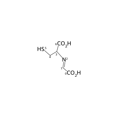 O=C(O)/C=N/C(CS)C(=O)O